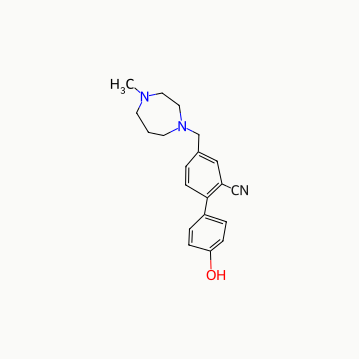 CN1CCCN(Cc2ccc(-c3ccc(O)cc3)c(C#N)c2)CC1